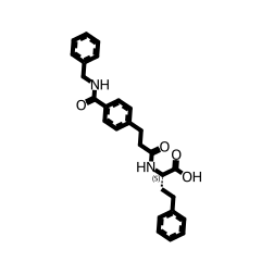 O=C(CCc1ccc(C(=O)NCc2ccccc2)cc1)N[C@@H](CCc1ccccc1)C(=O)O